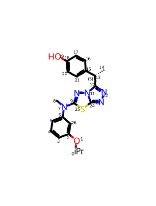 CC(C)Oc1cccc(N(C)c2nn3c([C@@H](C)c4ccc(O)cc4)nnc3s2)c1